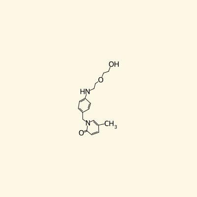 Cc1ccc(=O)n(Cc2ccc(NCCOCCO)cc2)c1